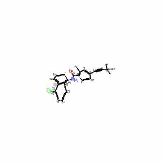 Cc1cc(C#CC(C)(C)C)ccc1C(=O)Nc1cccc2c(Cl)cccc12